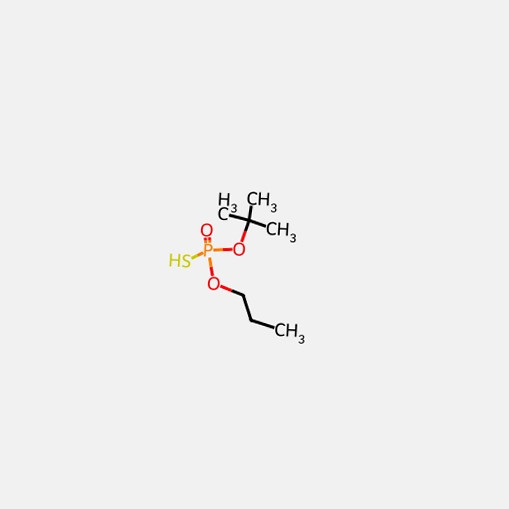 CCCOP(=O)(S)OC(C)(C)C